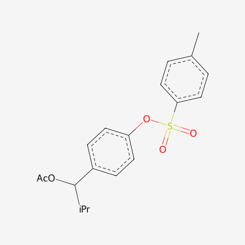 CC(=O)OC(c1ccc(OS(=O)(=O)c2ccc(C)cc2)cc1)C(C)C